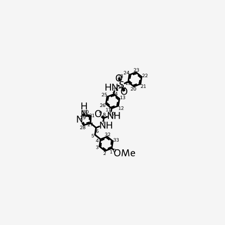 COc1ccc(CC(NC(=O)Nc2ccc(NS(=O)(=O)c3ccccc3)cc2)c2cn[nH]c2)cc1